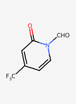 O=Cn1ccc(C(F)(F)F)cc1=O